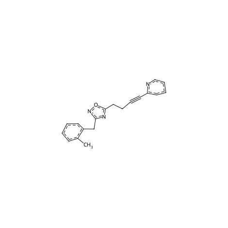 Cc1ccccc1Cc1noc(CCC#Cc2ccccn2)n1